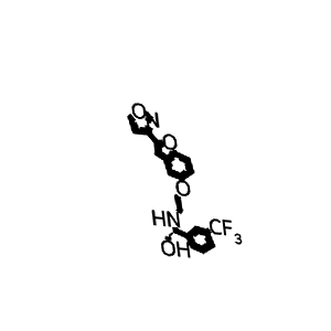 OC[C@H](NCCOc1ccc2oc(-c3ccon3)cc2c1)c1cccc(C(F)(F)F)c1